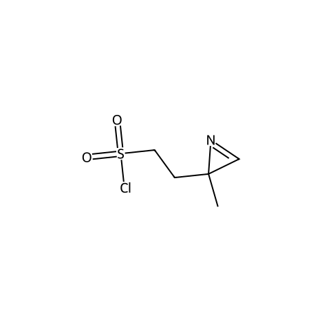 CC1(CCS(=O)(=O)Cl)C=N1